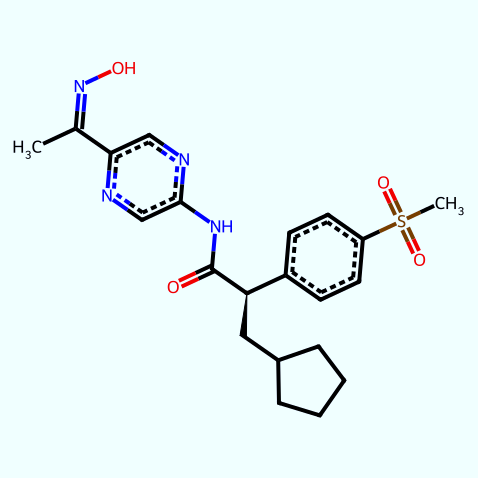 C/C(=N/O)c1cnc(NC(=O)[C@H](CC2CCCC2)c2ccc(S(C)(=O)=O)cc2)cn1